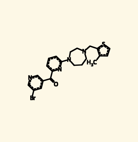 Cc1ccsc1CN1CCCN(c2cccc(C(=O)c3cncc(Br)c3)n2)CC1